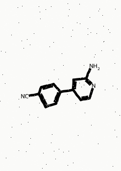 N#Cc1ccc(-c2ccnc(N)c2)cc1